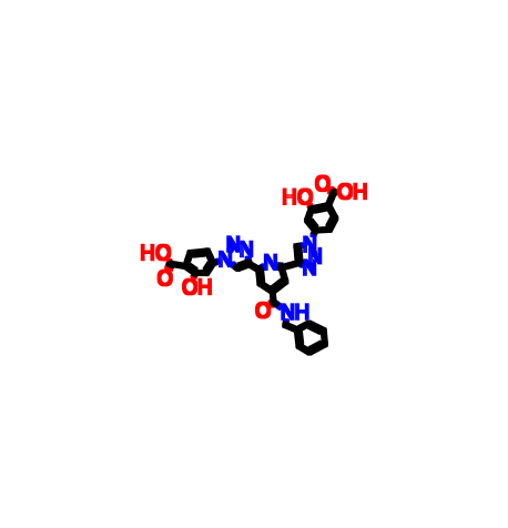 O=C(NCc1ccccc1)c1cc(-c2cn(-c3ccc(C(=O)O)c(O)c3)nn2)nc(-c2cn(-c3ccc(C(=O)O)c(O)c3)nn2)c1